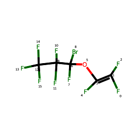 FC(F)=C(F)OC(F)(Br)C(F)(F)C(F)(F)F